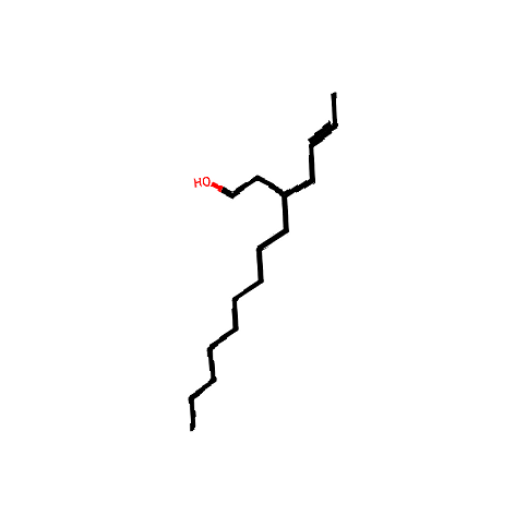 CC=CCC(CCO)CCCCCCCCC